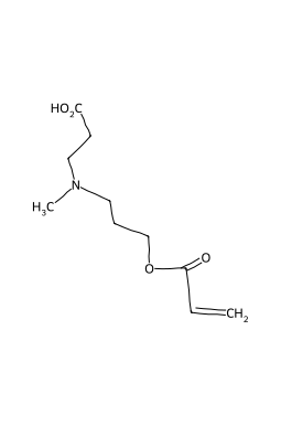 C=CC(=O)OCCCN(C)CCC(=O)O